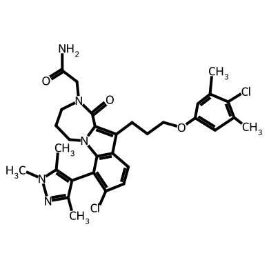 Cc1cc(OCCCc2c3n(c4c(-c5c(C)nn(C)c5C)c(Cl)ccc24)CCCN(CC(N)=O)C3=O)cc(C)c1Cl